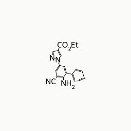 CCOC(=O)c1cnn(-c2cc(C#N)c(N)c(-c3ccccc3)c2)c1